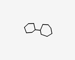 [CH]1CCC([C]2CCCCCC2)CC1